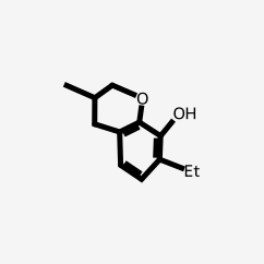 CCc1ccc2c(c1O)OCC(C)C2